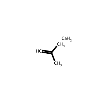 [CH]=C(C)C.[CaH2]